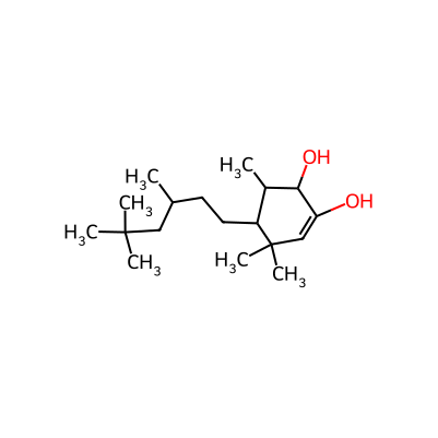 CC(CCC1C(C)C(O)C(O)=CC1(C)C)CC(C)(C)C